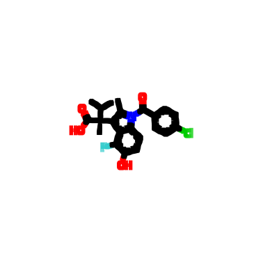 Cc1c([C@](C)(C(=O)O)C(C)C)c2c(F)c(O)ccc2n1C(=O)c1ccc(Cl)cc1